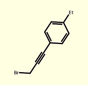 CCc1ccc(C#CCBr)cc1